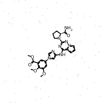 COC(=O)c1cc(-n2cnc(Nc3nc(N4CCC[C@H]4C(N)=O)nn4cccc34)c2)cc(OC)c1OC